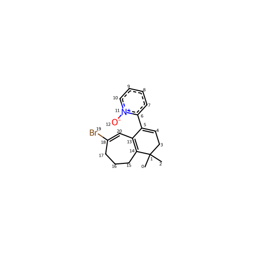 CC1(C)CC=C(c2cccc[n+]2[O-])C2=C1CCCC(Br)=C2